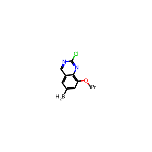 Bc1cc(OC(C)C)c2nc(Cl)ncc2c1